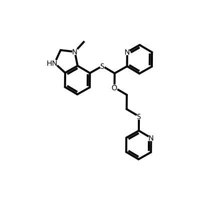 CN1CNc2cccc(SC(OCCSc3ccccn3)c3ccccn3)c21